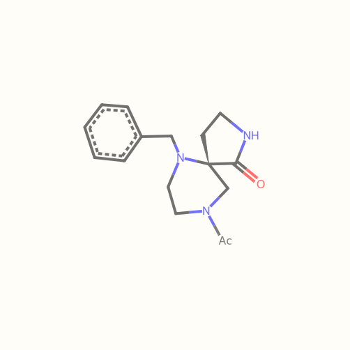 CC(=O)N1CCN(Cc2ccccc2)[C@@]2(CCNC2=O)C1